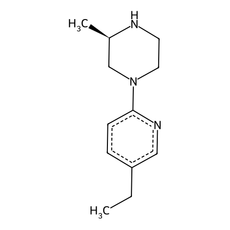 CCc1ccc(N2CCN[C@H](C)C2)nc1